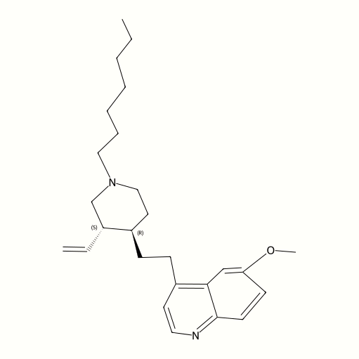 C=C[C@@H]1CN(CCCCCCC)CC[C@H]1CCc1ccnc2ccc(OC)cc12